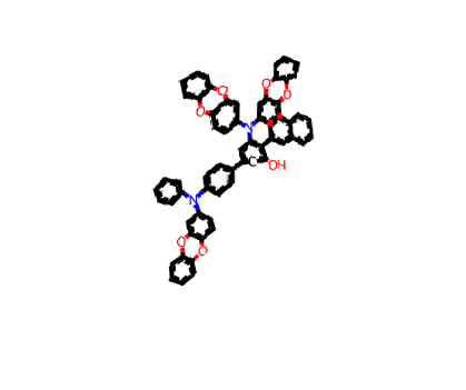 Oc1cc(-c2ccc(N(c3ccccc3)c3ccc4c(c3)Oc3ccccc3O4)cc2)cc(N(c2ccc3c(c2)Oc2ccccc2O3)c2ccc3c(c2)Oc2ccccc2O3)c1-c1ccc2ccccc2c1